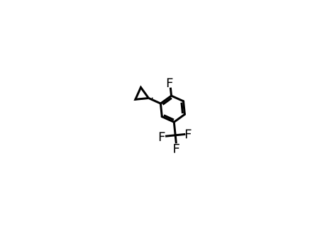 Fc1ccc(C(F)(F)F)cc1[C]1CC1